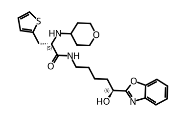 O=C(NCCCC[C@H](O)c1nc2ccccc2o1)[C@H](Cc1cccs1)NC1CCOCC1